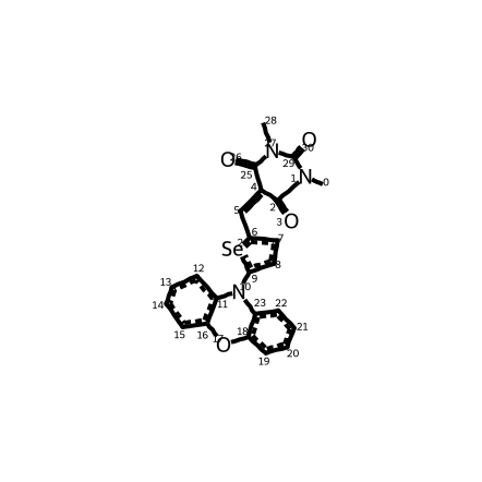 CN1C(=O)C(=Cc2ccc(N3c4ccccc4Oc4ccccc43)[se]2)C(=O)N(C)C1=O